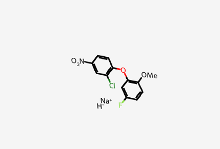 COc1ccc(F)cc1Oc1ccc([N+](=O)[O-])cc1Cl.[H-].[Na+]